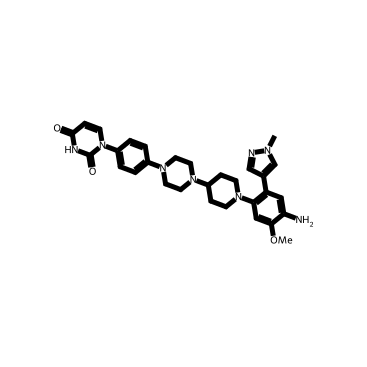 COc1cc(N2CCC(N3CCN(c4ccc(-n5ccc(=O)[nH]c5=O)cc4)CC3)CC2)c(-c2cnn(C)c2)cc1N